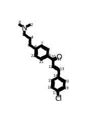 CN(C)CCCc1ccc(C(=O)C=Cc2ccc(Cl)cc2)cc1